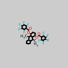 Cc1c2ccccc2c(C)c2c(OC(=O)c3c(F)c(F)c(F)c(F)c3F)ccc(OC(=O)c3c(F)c(F)c(F)c(F)c3F)c12